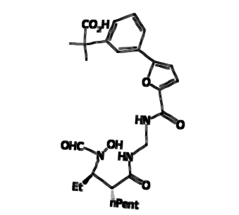 CCCCC[C@@H](C(=O)NCNC(=O)c1ccc(-c2cccc(C(C)(C)C(=O)O)c2)o1)[C@@H](CC)N(O)C=O